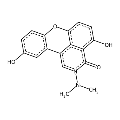 CN(C)n1cc2c3c(ccc(O)c3c1=O)Oc1ccc(O)cc1-2